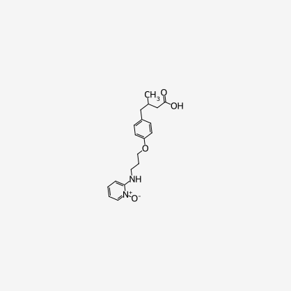 CC(CC(=O)O)Cc1ccc(OCCCNc2cccc[n+]2[O-])cc1